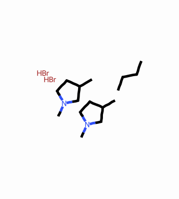 Br.Br.CC1CCN(C)C1.CC1CCN(C)C1.CCCC